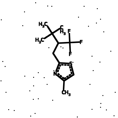 Cc1csc(CC(C(C)(C)C)C(F)(F)F)n1